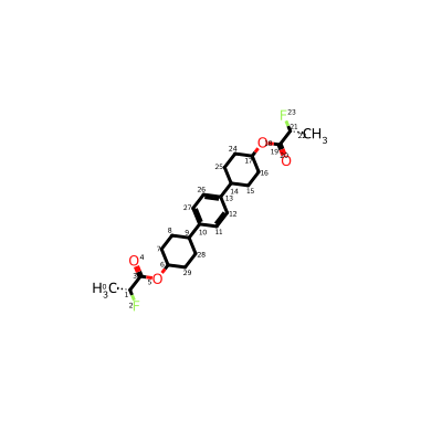 C[C@@H](F)C(=O)OC1CCC(c2ccc(C3CCC(OC(=O)[C@@H](C)F)CC3)cc2)CC1